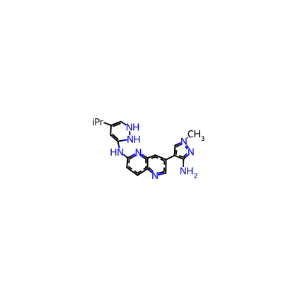 CC(C)C1=CNNC(Nc2ccc3ncc(-c4cn(C)nc4N)cc3n2)=C1